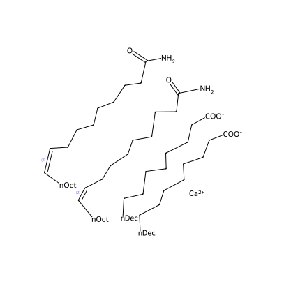 CCCCCCCC/C=C\CCCCCCCC(N)=O.CCCCCCCC/C=C\CCCCCCCC(N)=O.CCCCCCCCCCCCCCCCCC(=O)[O-].CCCCCCCCCCCCCCCCCC(=O)[O-].[Ca+2]